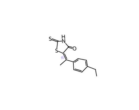 CCc1ccc(/C(C)=C2/SC(=S)NC2=O)cc1